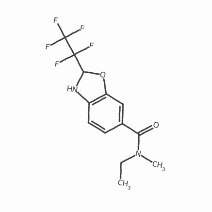 CCN(C)C(=O)c1ccc2c(c1)OC(C(F)(F)C(F)(F)F)N2